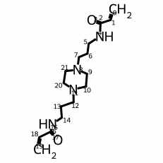 C=CC(=O)NCCCN1CCN(CCCNC(=O)C=C)CC1